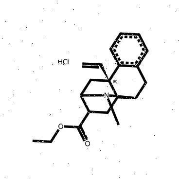 C=C[C@]12CC3C(C(=O)OCC)CC1C(Cc1ccccc12)N3C.Cl